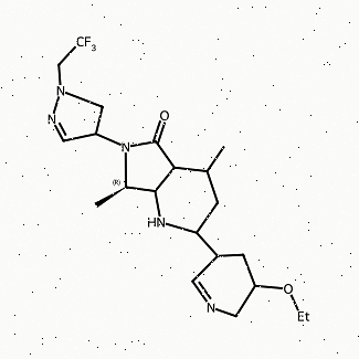 CCOC1CN=CC(C2CC(C)C3C(=O)N(C4C=NN(CC(F)(F)F)C4)[C@H](C)C3N2)C1